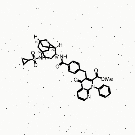 COC(=O)c1c(Cc2ccc(C(=O)N[C@@H]3CC[C@@]4(NS(=O)(=O)C5CC5)CC5C[C@H](C[C@@H]53)C4)cc2)c(=O)c2cccnc2n1-c1ccccc1